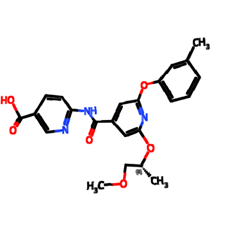 COC[C@@H](C)Oc1cc(C(=O)Nc2ccc(C(=O)O)cn2)cc(Oc2cccc(C)c2)n1